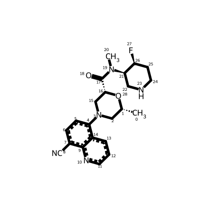 C[C@@H]1CN(c2ccc(C#N)c3ncccc23)C[C@H](C(=O)N(C)[C@@H]2CNCC[C@@H]2F)O1